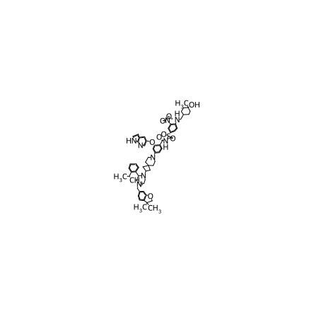 CC(C)c1ccccc1C1CN(Cc2ccc3c(c2)OCC3(C)C)CCN1C1CC2(CCN(c3ccc(C(=O)NS(=O)(=O)c4ccc(NCC5CCC(C)(O)CC5)c([N+](=O)[O-])c4)c(Oc4cnc5[nH]ccc5c4)c3)CC2)C1